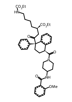 CCOC(=O)NCCCC[C@H](CC(=O)[C@@]1(c2ccccc2)CC[C@H](C(=O)N2CCC(NC(=O)c3ccccc3OC)CC2)c2ccccc21)C(=O)OCC